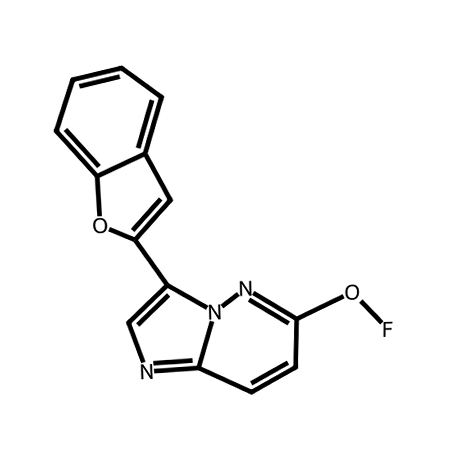 FOc1ccc2ncc(-c3cc4ccccc4o3)n2n1